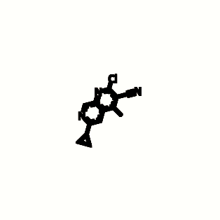 Cc1c(C#N)c(Cl)nc2cnc(C3CC3)cc12